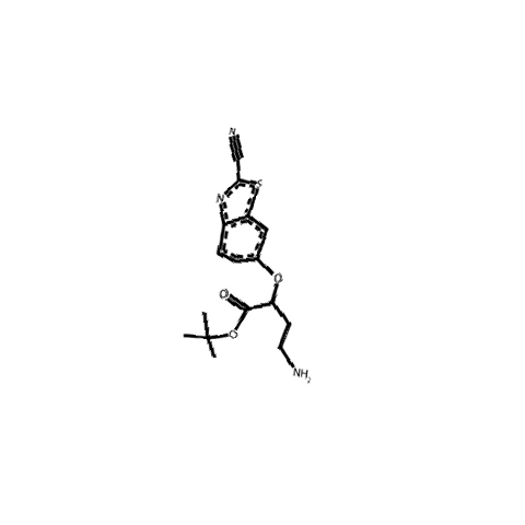 CC(C)(C)OC(=O)C(CCN)Oc1ccc2nc(C#N)sc2c1